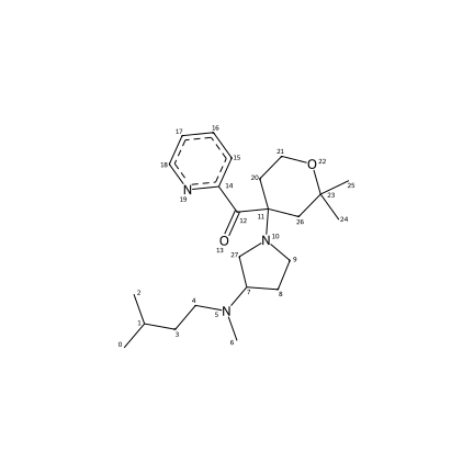 CC(C)CCN(C)C1CCN(C2(C(=O)c3ccccn3)CCOC(C)(C)C2)C1